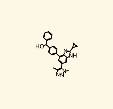 Cc1nnn(C)c1-c1cc(-c2ccc(C(O)c3ccccc3)cc2)c2nc(C3CC3)[nH]c2c1